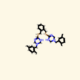 Cc1ccc(C)c(CN2CN=C(SCc3ccccc3CSC3=NCN(Cc4cc(C)ccc4C)CN3)NC2)c1